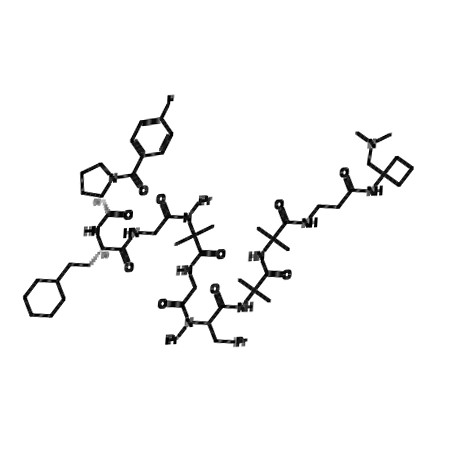 CC(C)CC(C(=O)NC(C)(C)C(=O)NC(C)(C)C(=O)NCCC(=O)NC1(CN(C)C)CCC1)N(C(=O)CNC(=O)C(C)(C)N(C(=O)CNC(=O)[C@H](CCC1CCCCC1)NC(=O)[C@@H]1CCCN1C(=O)c1ccc(F)cc1)C(C)C)C(C)C